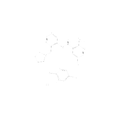 Nc1ncc(Br)cc1C(=O)Nc1cnccc1CN1CCCC1.Nc1ncc(Br)cc1C(=O)O